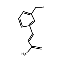 CC(=O)C=Cc1cccc(CF)c1